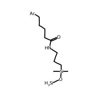 CC(=O)CCCCC(=O)NCCC[Si](C)(C)O[SiH3]